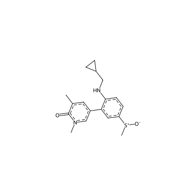 Cc1cc(-c2cc([S+](C)[O-])ccc2NCC2CC2)cn(C)c1=O